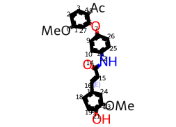 COc1ccc(C(C)=O)c(Oc2ccc(NC(=O)/C=C/c3ccc(O)c(OC)c3)cc2)c1